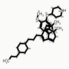 CCCC1CCC(CCC/C2=C/C(c3ccc(C)o3)=C/CC(C)c3cc(OC4CCNCC4)c(OC)cc32)CC1